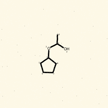 [CH2]C(O)OC1CCCC1